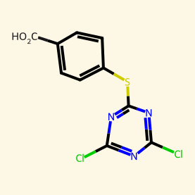 O=C(O)c1ccc(Sc2nc(Cl)nc(Cl)n2)cc1